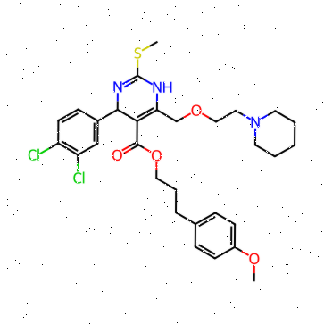 COc1ccc(CCCOC(=O)C2=C(COCCN3CCCCC3)NC(SC)=NC2c2ccc(Cl)c(Cl)c2)cc1